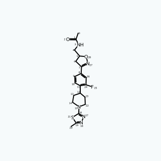 CC(=O)NCC1CC(c2ccc(C3CCN(c4nnc(C)s4)CC3)c(F)c2)=NO1